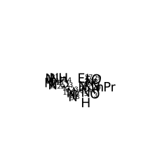 CCCn1c(=O)c2[nH]c(-c3cnn(Cc4cccc(-c5nnn[nH]5)c4)c3)nc2n(CC)c1=O